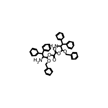 NC(C(OCc1ccccc1)OC(=O)C(=O)OC(OCc1ccccc1)C(N)C(c1ccccc1)c1ccccc1)C(c1ccccc1)c1ccccc1